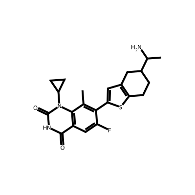 Cc1c(-c2cc3c(s2)CCC(C(C)N)C3)c(F)cc2c(=O)[nH]c(=O)n(C3CC3)c12